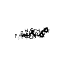 CC1(C)C(C=C(Cl)C(F)(F)OCC(F)(F)C(F)(F)F)C1C(=O)OCc1cccc(Cc2ccccc2)c1